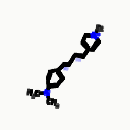 CC[n+]1ccc(/C=C/C=C/c2ccc(N(C)C)cc2)cc1